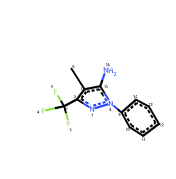 Cc1c(C(F)(F)F)nn(-c2ccccc2)c1N